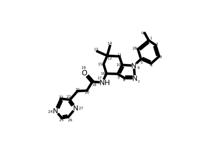 Cc1cccc(-n2ncc3c2CC(C)(C)CC3NC(=O)CCc2cnccn2)c1